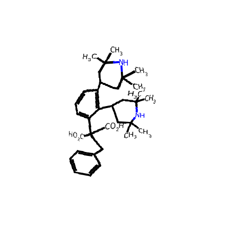 CC1(C)CC(c2cccc(C(Cc3ccccc3)(C(=O)O)C(=O)O)c2C2CC(C)(C)NC(C)(C)C2)CC(C)(C)N1